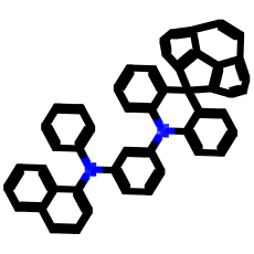 c1ccc(N(c2cccc(N3c4ccccc4C4(c5ccccc53)c3cccc5ccc6cccc4c6c35)c2)c2cccc3ccccc23)cc1